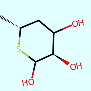 C[C@@H]1CC(O)[C@@H](O)C(O)S1